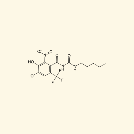 CCCCCNC(=O)NC(=O)c1c(C(F)(F)F)cc(OC)c(O)c1[N+](=O)[O-]